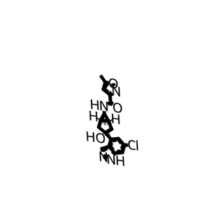 Cc1cc(C(=O)NC2[C@H]3C[C@](O)(c4cc(Cl)cc5[nH]ncc45)C[C@@H]23)no1